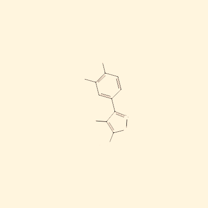 O=C(O)c1snc(-c2ccc(C(F)(F)F)c(Br)c2)c1O